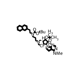 CNc1ncnc2c1ccn2[C@@H]1C[C@H](CN(CCCN(CCc2ccc3ccccc3c2)C(=O)OC(C)(C)C)CC(F)(F)F)[C@H]2OC(C)(C)O[C@H]21